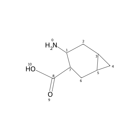 NC1CC2CC2CC1C(=O)O